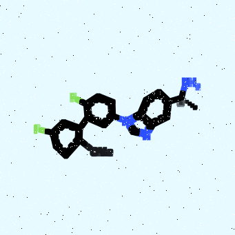 COc1ccc(F)cc1-c1cc(-n2cnc3cc([C@@H](C)N)ccc32)ccc1F